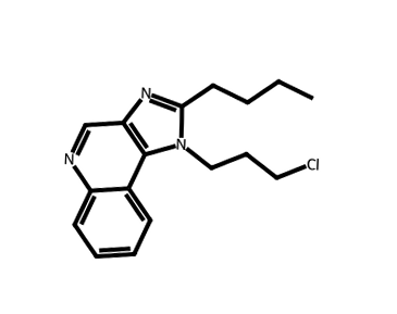 CCCCc1nc2cnc3ccccc3c2n1CCCCl